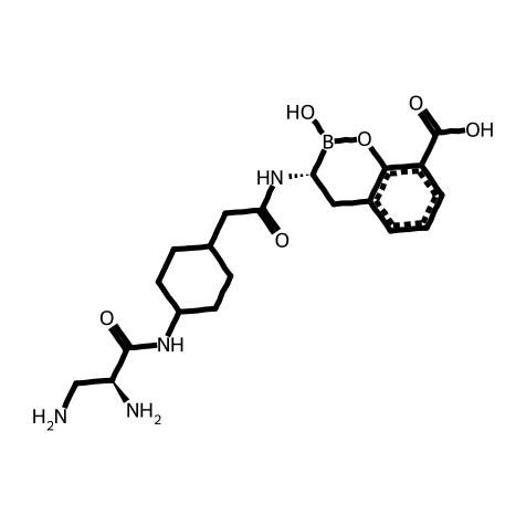 NC[C@H](N)C(=O)NC1CCC(CC(=O)N[C@H]2Cc3cccc(C(=O)O)c3OB2O)CC1